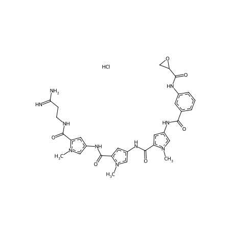 Cl.Cn1cc(NC(=O)c2cc(NC(=O)c3cc(NC(=O)c4cccc(NC(=O)C5CO5)c4)cn3C)cn2C)cc1C(=O)NCCC(=N)N